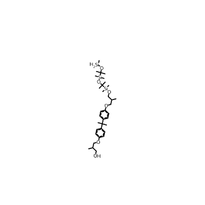 C[SiH2]OC(C)(C)[Si](C)(C)OC(C)(C)[Si](C)(C)OCC(C)COc1ccc(C(C)(C)c2ccc(OCC(C)CO)cc2)cc1